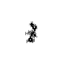 CC(=O)N[C@@H](Cc1cc(F)cc(F)c1)[C@@H](O)CNCc1ccnc(CC(C)(C)C)c1